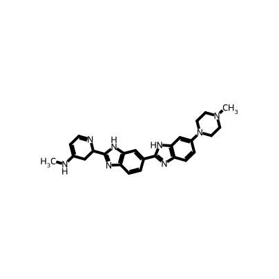 CNC1=CC=NC(c2nc3ccc(-c4nc5ccc(N6CCN(C)CC6)cc5[nH]4)cc3[nH]2)C1